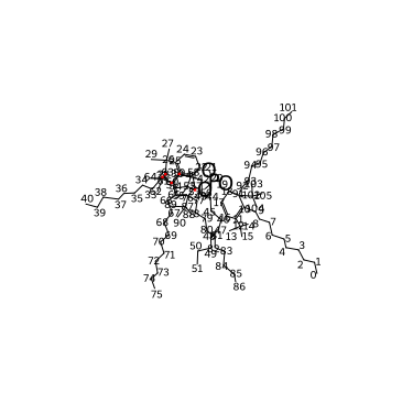 CCCCCCCCCCC1=C(C(C)(C)C)C=CC(OP(OC2C=CC(C(C)(C)C)=C(CCCCCCCCCC)C2(CCCCCCCCCC)C(C)(C)C)OC2C=CC(C(C)(C)C)=C(CCCCCCCCCC)C2(CCCCCCCCCC)C(C)(C)C)C1(CCCCCCCCCC)C(C)(C)C